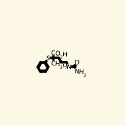 CC(CCCNC(N)=O)(Sc1ccccc1)C(=O)O